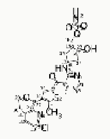 Cc1sc(C(=O)c2cncnc2N[C@@H]2C[C@H](COS(N)(=O)=O)[C@@H](O)C2)cc1[C@@H]1OCCc2ccc(Cl)nc21